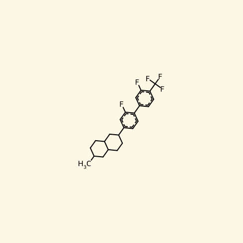 CC1CCC2CC(c3ccc(-c4ccc(C(F)(F)F)c(F)c4)c(F)c3)CCC2C1